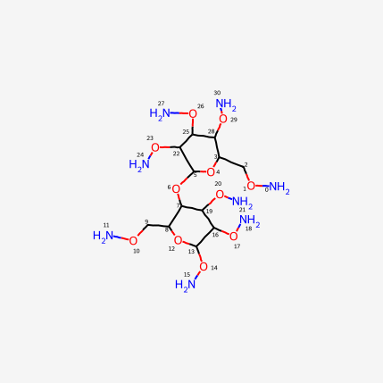 NOCC1OC(OC2C(CON)OC(ON)C(ON)C2ON)C(ON)C(ON)C1ON